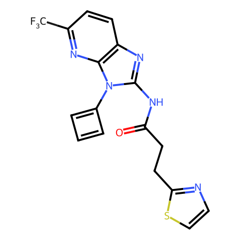 O=C(CCc1nccs1)Nc1nc2ccc(C(F)(F)F)nc2n1C1=CC=C1